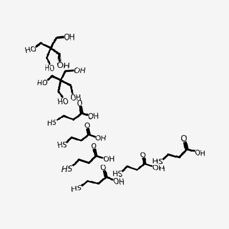 O=C(O)CCS.O=C(O)CCS.O=C(O)CCS.O=C(O)CCS.O=C(O)CCS.O=C(O)CCS.OCC(CO)(CO)CO.OCC(CO)(CO)CO